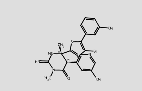 CN1C(=N)N[C@](C)(c2nc(Br)c(-c3cccc(C#N)c3)s2)[C@@H](c2cncc(C#N)c2)C1=O